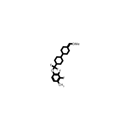 COC=C1CCC(C2CCC(C(F)(F)Oc3ccc(C)c(F)c3F)CC2)CC1